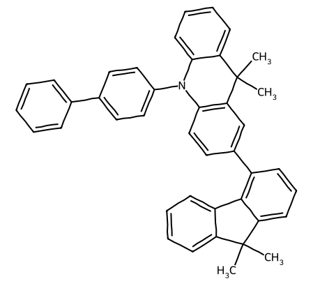 CC1(C)c2ccccc2N(c2ccc(-c3ccccc3)cc2)c2ccc(-c3cccc4c3-c3ccccc3C4(C)C)cc21